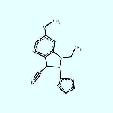 CCN1c2cc(OC)ccc2C(C#N)C1c1cccs1